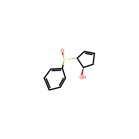 [O-][S+](c1ccccc1)[C@@H]1C=CC[C@H]1O